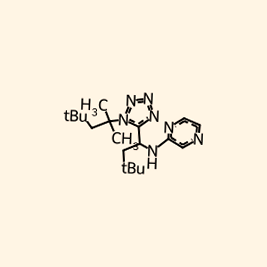 CC(C)(C)CC(Nc1cnccn1)c1nnnn1C(C)(C)CC(C)(C)C